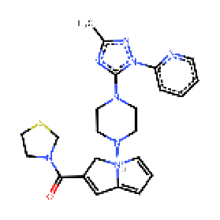 Cc1nc(N2CCN([N@@+]34C=CC=C3C=C(C(=O)N3CCSC3)C4)CC2)n(-c2ccccn2)n1